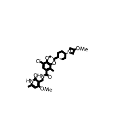 COc1cc(C)[nH]c(=O)c1CNC(=O)c1cc(Cl)c2c(c1C)O[C@@H]([C@H]1CC[C@@H](N3CC(OC)C3)CC1)CO2